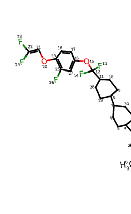 CCCCC1CCC(C2CCC(C(F)(F)Oc3ccc(OC=C(F)F)c(F)c3)CC2)CC1